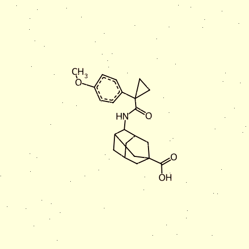 COc1ccc(C2(C(=O)NC3C4CC5CC3CC(C(=O)O)(C5)C4)CC2)cc1